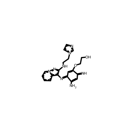 N=C1C=C(N)/C(=N/c2c(NCCn3ccnc3)nn3ccccc23)C=C1OCCO